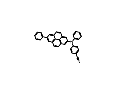 N#Cc1ccc(N(c2ccccc2)c2cc3ccc4cc(-c5ccccc5)cc5ccc(c2)c3c45)cc1